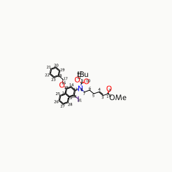 COC(=O)C=CCCCN(C(=O)OC(C)(C)C)c1cc(OCc2ccccc2)c2ccccc2c1I